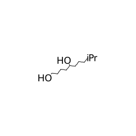 CC(C)CCCC(O)CCCCO